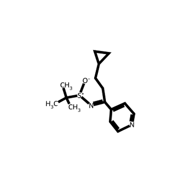 CC(C)(C)[S+]([O-])N=C(CCC1CC1)c1ccncc1